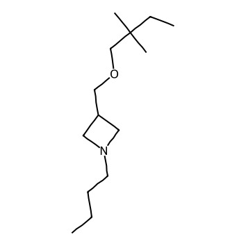 CCCCN1CC(COCC(C)(C)CC)C1